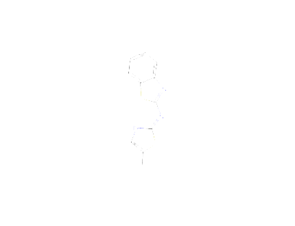 CCOC(=O)c1c[nH]/c(=N\c2nc3ccccc3s2)s1